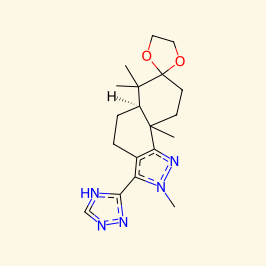 Cn1nc2c(c1-c1nnc[nH]1)CC[C@@H]1C2(C)CCC2(OCCO2)C1(C)C